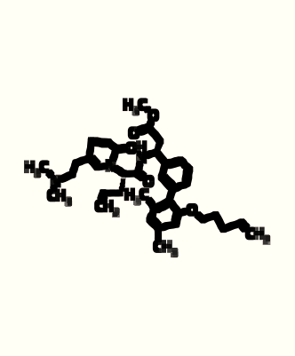 C=CCCCOc1cc(C)cc(C)c1-c1cccc([C@H](CC(=O)OC)NC(=O)[C@H](CC=C)n2cc(CCN(C)C)ccc2=O)c1